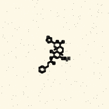 CC12CCC3C(=O)OC(c4ccoc4)CC3(C)C1C(=O)C(OC(=O)CCc1ccccc1)=CC2C(=O)O